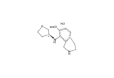 COc1ccc2c(c1N[C@H]1CCOC1)CNCC2.Cl